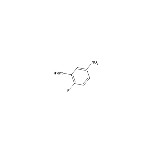 CCCC(C)c1cc([N+](=O)[O-])ccc1F